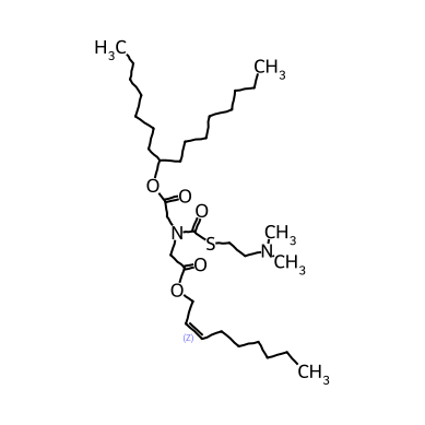 CCCCCC/C=C\COC(=O)CN(CC(=O)OC(CCCCCCC)CCCCCCCC)C(=O)SCCN(C)C